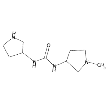 CN1CCC(NC(=O)NC2CCNC2)C1